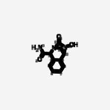 NC(=O)C1c2ccccc2C2CN1C(=O)N2O